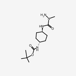 CN(N)C(=O)N[C@H]1CC[C@H](NC(=O)OC(C)(C)C)CC1